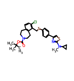 CN(c1nc(-c2ccc(SCc3c(Cl)ccc4c3CCN(C(=O)OC(C)(C)C)CC4)cc2)cs1)C1CC1